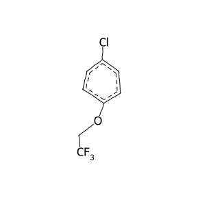 FC(F)(F)COc1ccc(Cl)cc1